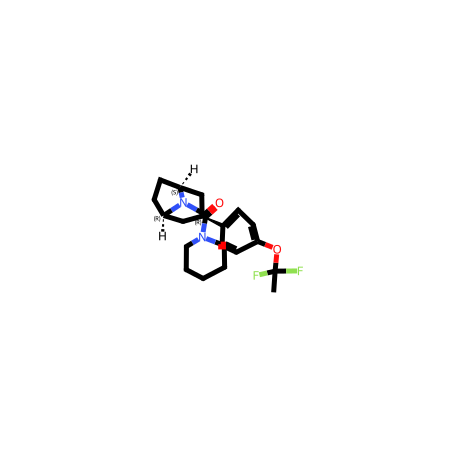 CC(F)(F)Oc1ccc([C@H]2C[C@H]3CC[C@@H](C2)N3C(=O)N2CCCCC2)cc1